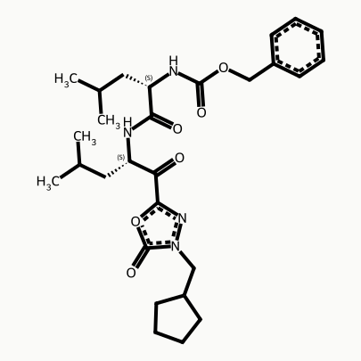 CC(C)C[C@H](NC(=O)OCc1ccccc1)C(=O)N[C@@H](CC(C)C)C(=O)c1nn(CC2CCCC2)c(=O)o1